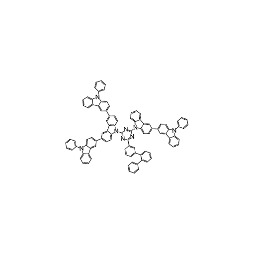 c1ccc(-c2ccccc2-c2cccc(-c3nc(-n4c5ccccc5c5cc(-c6ccc7c(c6)c6ccccc6n7-c6ccccc6)ccc54)nc(-n4c5ccc(-c6ccc7c(c6)c6ccccc6n7-c6ccccc6)cc5c5cc(-c6ccc7c(c6)c6ccccc6n7-c6ccccc6)ccc54)n3)c2)cc1